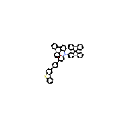 c1ccc2c(c1)-c1ccccc1C21c2ccccc2-c2ccc(N(c3ccc(-c4ccc(-c5ccc6sc7ccccc7c6c5)cc4)cc3)c3cccc4c5ccccc5c5ccccc5c34)cc21